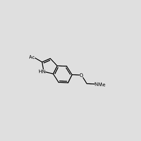 CNCOc1ccc2[nH]c(C(C)=O)cc2c1